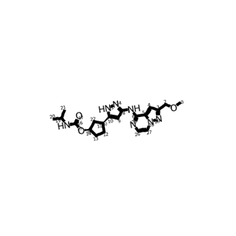 COCc1cc2c(Nc3cc([C@H]4CC[C@@H](OC(=O)NC(C)C)C4)[nH]n3)nccn2n1